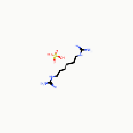 N=C(N)NCCCCCCNC(=N)N.O=S(=O)(O)O